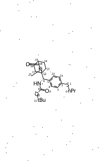 CCCSc1ccc([C@H](NC(=O)OC(C)(C)C)C23CCC(CC2)C(=O)N3C)cc1